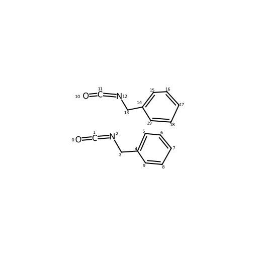 O=C=NCc1ccccc1.O=C=NCc1ccccc1